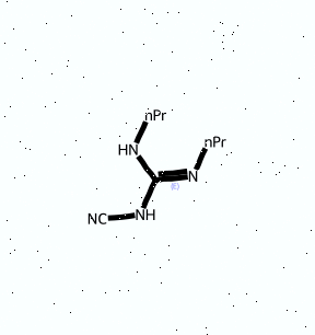 CCC/N=C(/NC#N)NCCC